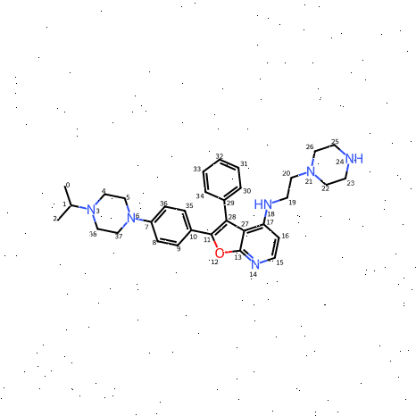 CC(C)N1CCN(c2ccc(-c3oc4nccc(NCCN5CCNCC5)c4c3-c3ccccc3)cc2)CC1